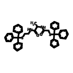 CC(NC(=O)CSC(c1ccccc1)(c1ccccc1)c1ccccc1)C(=O)NCCSC(c1ccccc1)(c1ccccc1)c1ccccc1